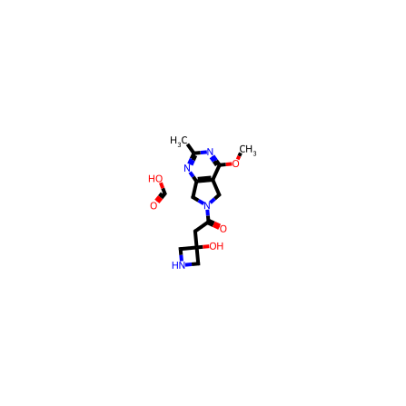 COc1nc(C)nc2c1CN(C(=O)CC1(O)CNC1)C2.O=CO